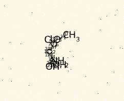 CCCCOc1ccc(-c2cccc(CCC(N)(CO)CO)c2)cc1Cl